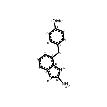 COc1ccc(Cc2cccc3oc(N)nc23)cc1